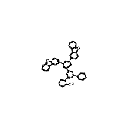 N#Cc1ccccc1-c1cc(-c2ccccc2)cc(-c2cc(-c3ccc4oc5ccccc5c4c3)cc(-c3ccc4oc5ccccc5c4c3)c2)c1